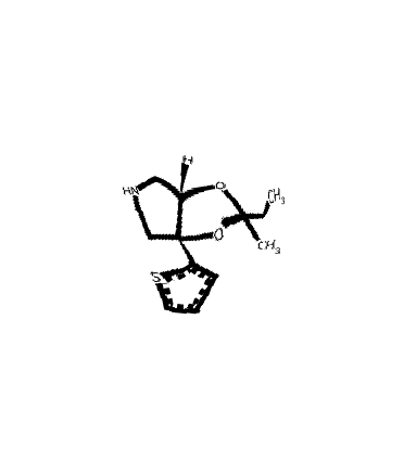 CC1(C)O[C@H]2CNCC[C@@]2(c2cccs2)O1